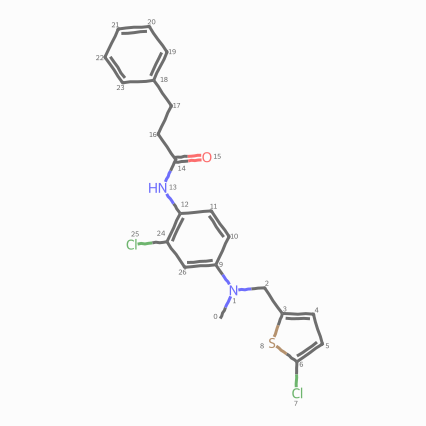 CN(Cc1ccc(Cl)s1)c1ccc(NC(=O)CCc2ccccc2)c(Cl)c1